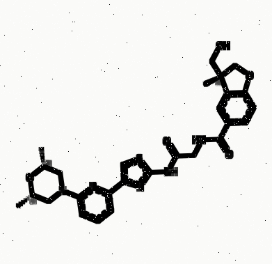 C[C@@H]1CN(c2cccc(-c3csc(NC(=O)CNC(=O)c4ccc5c(c4)[C@](C)(CO)CO5)n3)n2)C[C@H](C)O1